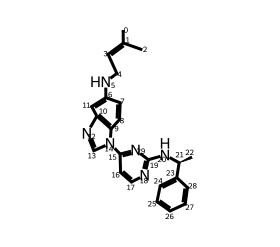 CC(C)=CCNc1ccc2c(c1)ncn2-c1ccnc(N[C@@H](C)c2ccccc2)n1